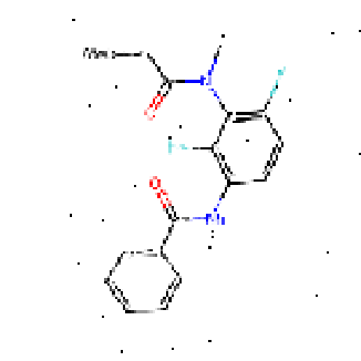 COCC(=O)N(C)c1c(F)ccc(NC(=O)c2ccccc2)c1F